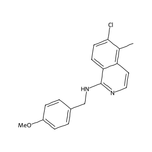 COc1ccc(CNc2nccc3c(C)c(Cl)ccc23)cc1